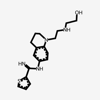 N=C(Nc1ccc2c(c1)CCCN2CCNCCO)c1cccs1